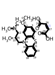 COc1ccc2c(c1)N(C[C@H](C)CN(C)C)c1ccccc1S2.O=C(O)/C=C\C(=O)O